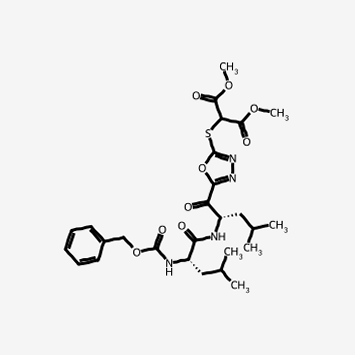 COC(=O)C(Sc1nnc(C(=O)[C@H](CC(C)C)NC(=O)[C@H](CC(C)C)NC(=O)OCc2ccccc2)o1)C(=O)OC